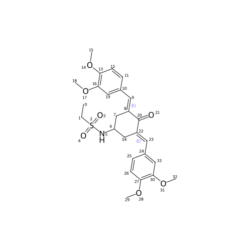 CCS(=O)(=O)NC1C/C(=C\c2ccc(OC)c(OC)c2)C(=O)/C(=C/c2ccc(OC)c(OC)c2)C1